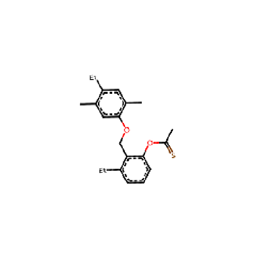 CCc1cc(C)c(OCc2c(CC)cccc2OC(C)=S)cc1C